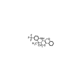 CC1(C)c2cc(C(F)(F)F)ccc2NC2C3=C(SCC21)c1ccccc1OC3